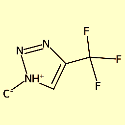 [CH2-][NH+]1C=C(C(F)(F)F)N=N1